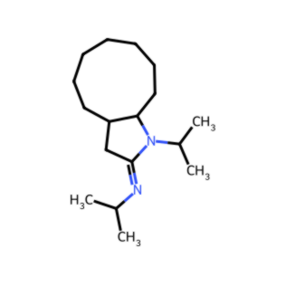 CC(C)/N=C1\CC2CCCCCCCC2N1C(C)C